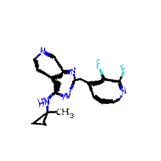 CC1(Nc2nc(-c3ccnc(F)c3F)nc3cnccc23)CC1